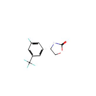 O=C1N[C@@H](c2cc(F)cc(C(F)(F)F)c2)CO1